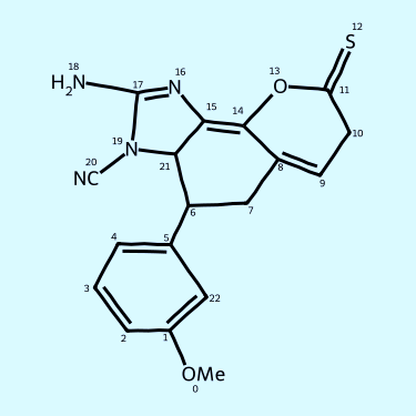 COc1cccc(C2CC3=CCC(=S)OC3=C3N=C(N)N(C#N)C32)c1